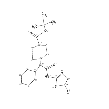 CC(C)(C)OC(=O)N1CCC(N(C(=O)NC2=NCC(Cl)S2)C2CCCCC2)CC1